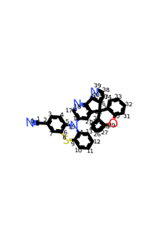 N#Cc1ccc2c(c1)Sc1ccccc1N2c1cnc2c(c1)C1(c3ccccc3Oc3ccccc31)c1cccnc1-2